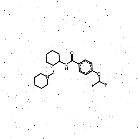 O=C(NC1CCCC[C@H]1CN1CCCCC1)c1ccc(OC(F)F)cc1